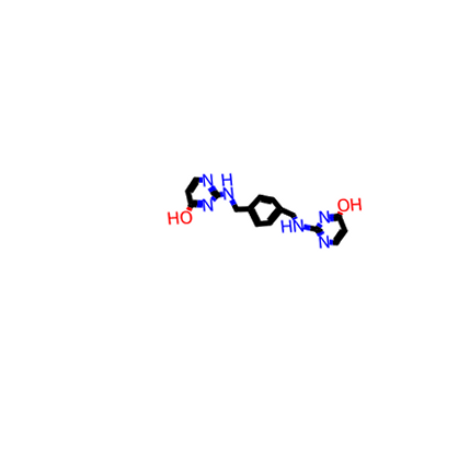 Oc1ccnc(NCc2ccc(CNc3nccc(O)n3)cc2)n1